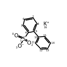 O=S(=O)([O-])c1ccccc1-c1ccccc1.[K+]